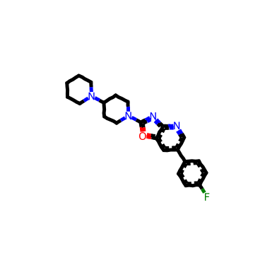 Fc1ccc(-c2cnc3nc(N4CCC(N5CCCCC5)CC4)oc3c2)cc1